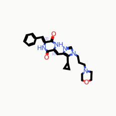 O=c1[nH]/c(=C\c2ncn(CCCN3CCOCC3)c2C2CC2)c(=O)[nH]/c1=C\c1ccccc1